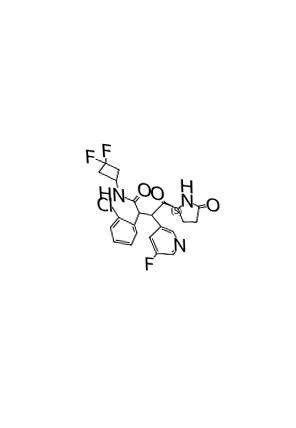 O=C1CC[C@@H](C(=O)C(c2cncc(F)c2)C(C(=O)NC2CC(F)(F)C2)c2ccccc2Cl)N1